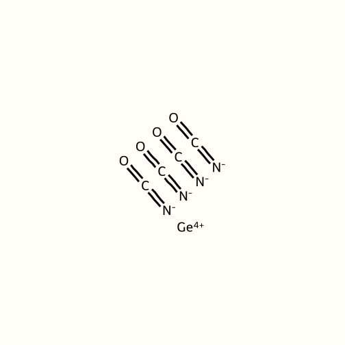 [Ge+4].[N-]=C=O.[N-]=C=O.[N-]=C=O.[N-]=C=O